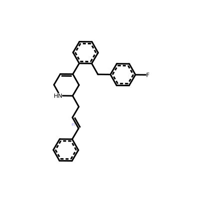 Fc1ccc(Cc2ccccc2C2=CCNC(C/C=C/c3ccccc3)C2)cc1